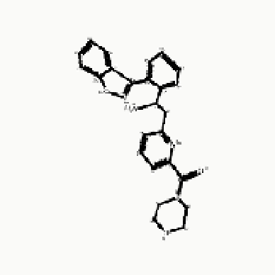 NC(Cc1cccc(C(=O)N2CCOCC2)n1)c1ccccc1-c1noc2ccccc12